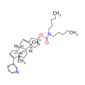 CCCCCN(CCCCC)C(=O)O[C@H]1CC[C@@]2(C)C(=CC[C@@H]3[C@@H]2CC[C@]2(C)C(c4cccnc4)=CC[C@@H]32)C1